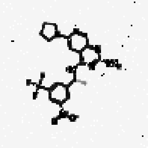 C[C@@H](Nc1nc(N)nc2cnc(N3CCCC3)cc12)c1cc([N+](=O)[O-])cc(C(F)(F)F)c1